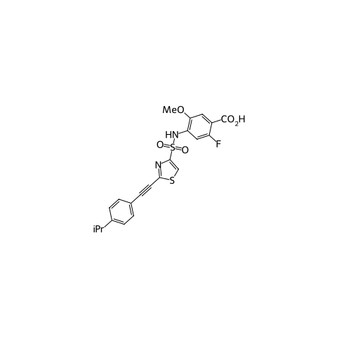 COc1cc(C(=O)O)c(F)cc1NS(=O)(=O)c1csc(C#Cc2ccc(C(C)C)cc2)n1